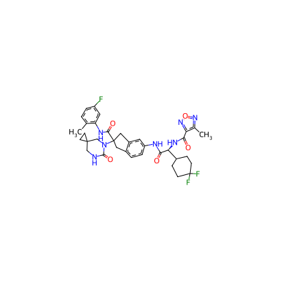 Cc1ccc(F)cc1NC(=O)C1(N2CC3(CC3)CNC2=O)Cc2ccc(NC(=O)[C@@H](NC(=O)c3nonc3C)C3CCC(F)(F)CC3)cc2C1